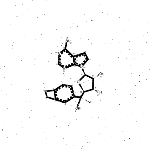 C[C@](O)(c1ccc2c(c1)CC2)[C@H]1O[C@@H](n2ccc3c(N)ncnc32)[C@H](O)[C@@H]1O